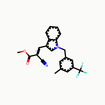 COC(=O)/C(C#N)=C/c1cn(Cc2cc(C)cc(C(F)(F)F)c2)c2ccccc12